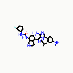 CNC1CC=C(c2cnc(N)c3c(-c4ccc(NC(=O)Nc5cccc(F)c5)c5cnccc45)nc(C(C)C)n23)CC1